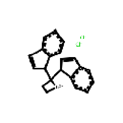 C1=CC([C]2(C3C=Cc4ccccc43)C[CH2][Ti+2]2)c2ccccc21.[Cl-].[Cl-]